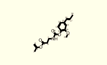 C=C(C)OC(=O)CCNC(=O)Oc1ccc(/C=C/C)cc1OC